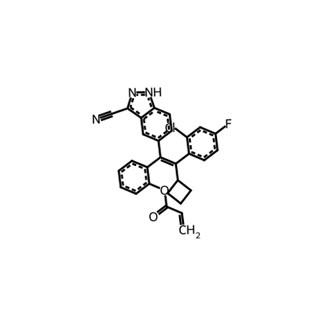 C=CC(=O)Oc1ccccc1/C(=C(/c1ccc(F)cc1Cl)C1CCC1)c1ccc2[nH]nc(C#N)c2c1